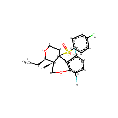 O=CC[C@H]1OCC[C@]2(S(=O)(=O)c3ccc(Cl)cc3)c3c(F)ccc(F)c3OC[C@H]12